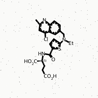 CCN(Cc1ccc2nc(C)cc(Cl)c2c1)c1ccc(C(=O)N[C@@H](CCC(=O)O)C(=O)O)s1